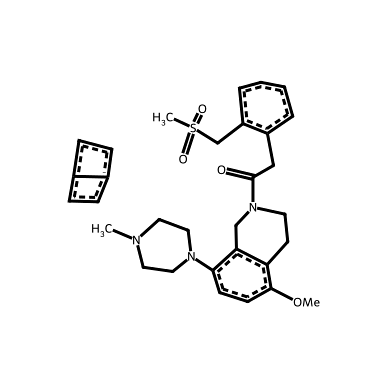 COc1ccc(N2CCN(C)CC2)c2c1CCN(C(=O)Cc1ccccc1CS(C)(=O)=O)C2.c1cc2ccc1-2